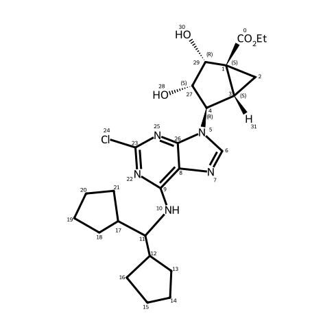 CCOC(=O)[C@@]12C[C@@H]1[C@@H](n1cnc3c(NC(C4CCCC4)C4CCCC4)nc(Cl)nc31)[C@H](O)[C@@H]2O